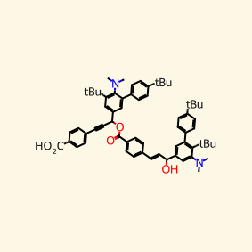 CN(C)c1cc(C(O)/C=C/c2ccc(C(=O)OC(C#Cc3ccc(C(=O)O)cc3)c3cc(-c4ccc(C(C)(C)C)cc4)c(N(C)C)c(C(C)(C)C)c3)cc2)cc(-c2ccc(C(C)(C)C)cc2)c1C(C)(C)C